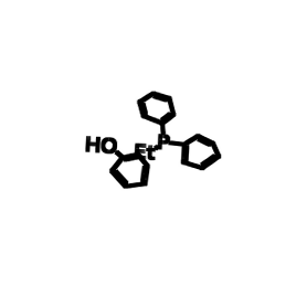 CCP(c1ccccc1)c1ccccc1.Oc1ccccc1